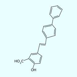 O=C(O)c1cc(C=Cc2ccc(-c3ccccc3)cc2)ccc1O